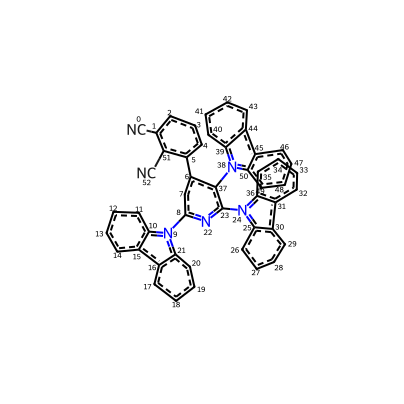 N#Cc1cccc(-c2cc(-n3c4ccccc4c4ccccc43)nc(-n3c4ccccc4c4ccccc43)c2-n2c3ccccc3c3ccccc32)c1C#N